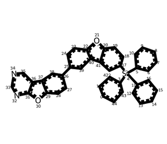 c1ccc([Si](c2ccccc2)(c2ccccc2)c2ccc3oc4ccc(-c5ccc6oc7ncncc7c6c5)cc4c3c2)cc1